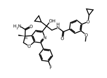 COc1cc(C(=O)NCC(O)(c2cc3c(c(-c4ccc(F)cc4)n2)OC[C@]3(C)C(N)=O)C2CC2)ccc1OC1CC1